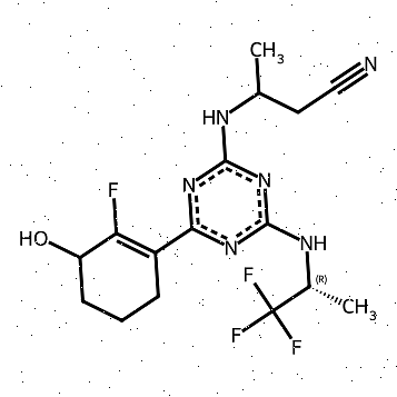 CC(CC#N)Nc1nc(N[C@H](C)C(F)(F)F)nc(C2=C(F)C(O)CCC2)n1